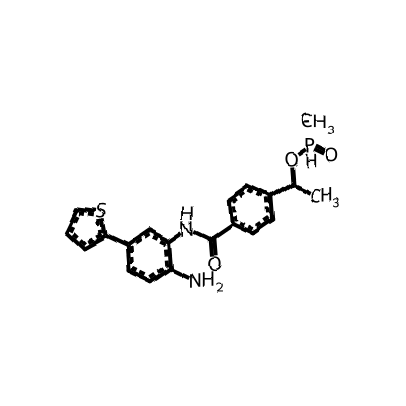 CC(O[PH](C)=O)c1ccc(C(=O)Nc2cc(-c3cccs3)ccc2N)cc1